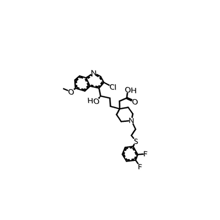 COc1ccc2ncc(Cl)c([C@H](O)CCC3(CC(=O)O)CCN(CCSc4cccc(F)c4F)CC3)c2c1